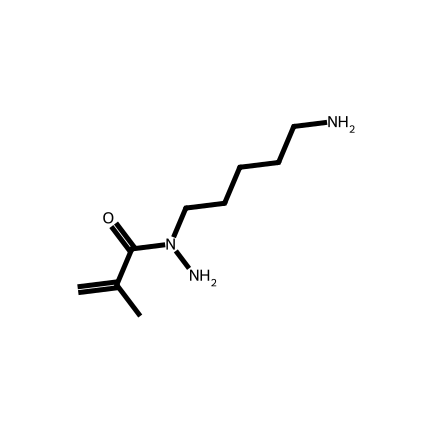 C=C(C)C(=O)N(N)CCCCCN